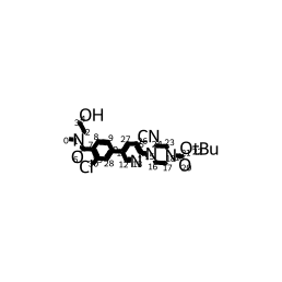 CN(CCO)C(=O)c1ccc(-c2cnc(N3CCN(C(=O)OC(C)(C)C)CC3)c(C#N)c2)cc1Cl